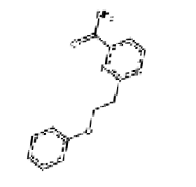 NC(=O)c1ccnc(CCOc2ccccc2)n1